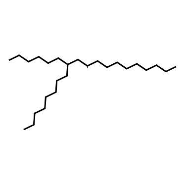 CCCCCCCCC[CH]CC(CCCCCC)CCCCCCCC